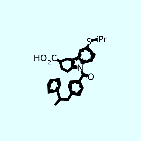 CC(C)Sc1ccc2c(c1)c1c(n2C(=O)c2ccc(CC(C)c3ccccc3)cc2)CCC(C(=O)O)C1